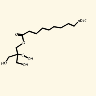 CCCCCCCCCCCCCCCCCCC(=O)OCC(CO)(CO)CO